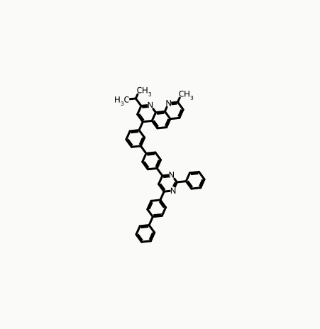 Cc1ccc2ccc3c(-c4cccc(-c5ccc(-c6cc(-c7ccc(-c8ccccc8)cc7)nc(-c7ccccc7)n6)cc5)c4)cc(C(C)C)nc3c2n1